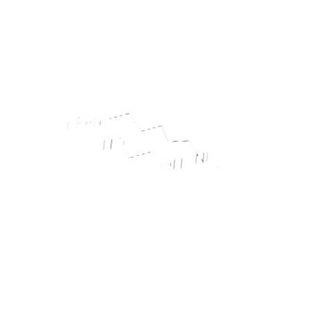 CCCCCCCCCCN.OCCO